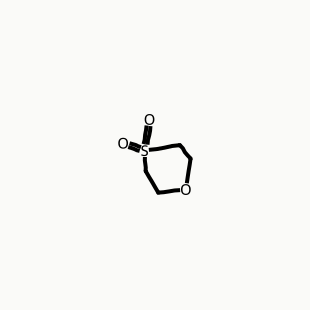 O=S1(=O)CCOCC1